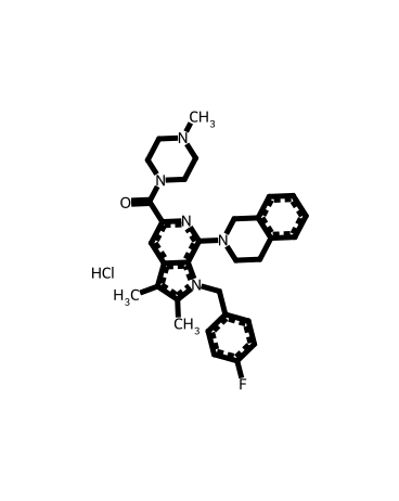 Cc1c(C)n(Cc2ccc(F)cc2)c2c(N3CCc4ccccc4C3)nc(C(=O)N3CCN(C)CC3)cc12.Cl